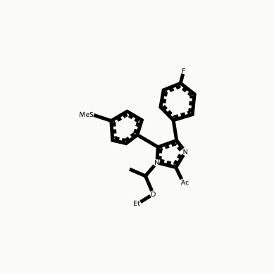 CCOC(C)n1c(C(C)=O)nc(-c2ccc(F)cc2)c1-c1ccc(SC)cc1